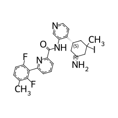 Cc1ccc(F)c(-c2cccc(C(=O)Nc3cnccc3[C@H]3C[C@@H](N)CC(C)(I)C3)n2)c1F